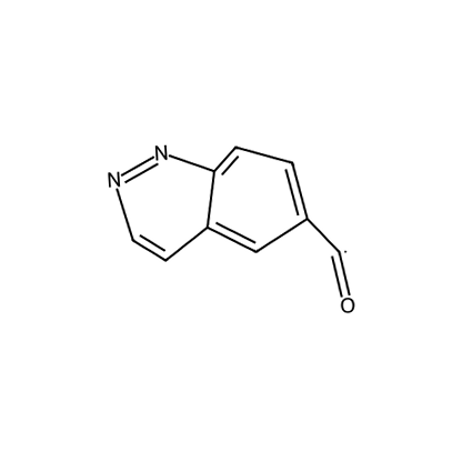 O=[C]c1ccc2nnccc2c1